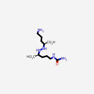 NCCC[C@H](NN[C@@H](CCCNC(N)=O)C(=O)O)C(=O)O